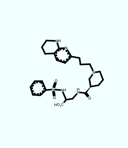 O=C(O)C(CNC(=O)[C@@H]1CCCN(CCCc2ccc3c(n2)NCCC3)C1)NS(=O)(=O)c1ccccc1